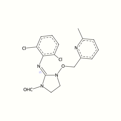 Cc1cccc(CON2CCN(C=O)/C2=N/c2c(Cl)cccc2Cl)n1